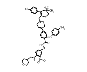 CC1(C)CCC(CN2CC=C(c3ccc(C(=O)NSc4ccc(NCC5CCOCC5)c([N+](=O)[O-])c4)c(Oc4ccc(N)nc4)c3)CC2)=C(c2ccc(Cl)cc2)C1